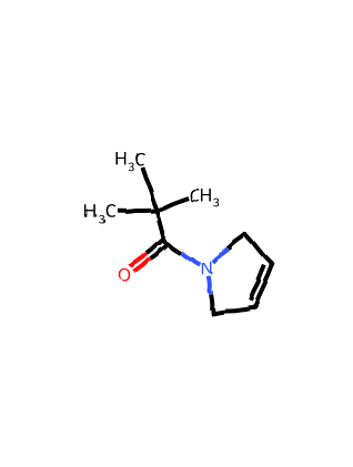 CC(C)(C)C(=O)N1CC=CC1